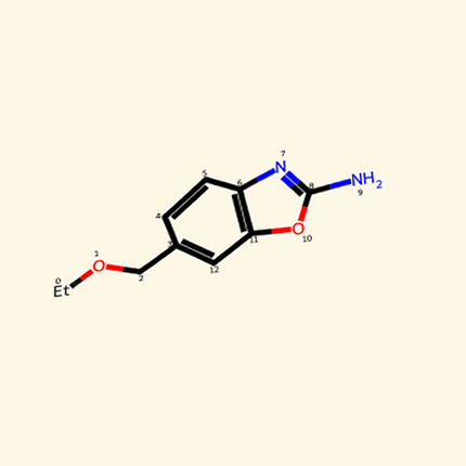 CCOCc1ccc2nc(N)oc2c1